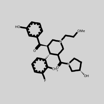 COCCN1CC(C(=O)N2CC[C@H](O)C2)[C@H](c2cccc(F)c2C)[C@@H](C(=O)c2cccc(O)c2)C1